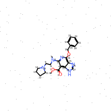 COC(=O)c1c(N(C)CCN2CCCC2)nc(OCc2ccccc2)c2nc[nH]c12